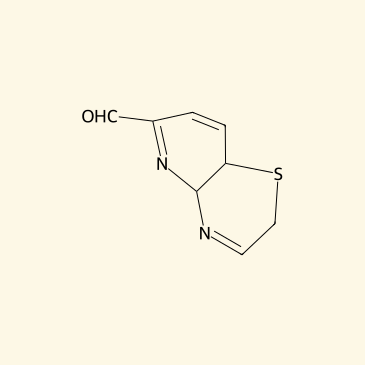 O=CC1=NC2N=CCSC2C=C1